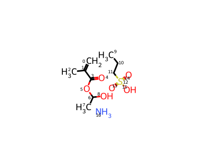 C=C(C)C(=O)OC(C)O.CCCS(=O)(=O)O.N